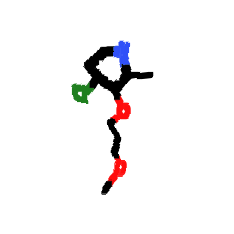 COCCCOc1c(Cl)ccnc1C